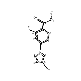 COC(=O)c1ccc(-n2cc(C)nn2)cc1F